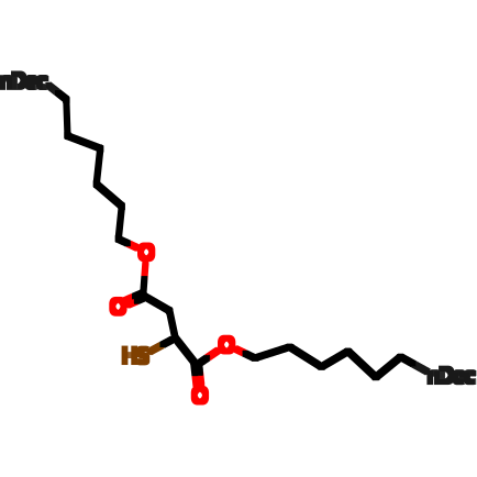 CCCCCCCCCCCCCCCCOC(=O)CC(S)C(=O)OCCCCCCCCCCCCCCCC